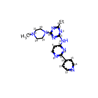 CCc1nc(Nc2ccnc(-c3ccncc3)n2)nc(N2CCN(C)CC2)n1